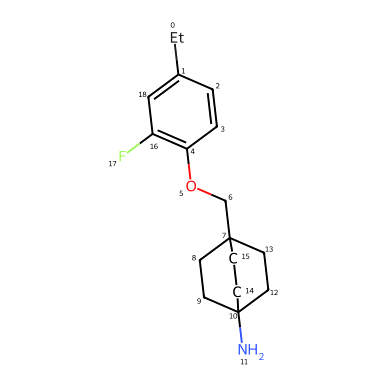 CCc1ccc(OCC23CCC(N)(CC2)CC3)c(F)c1